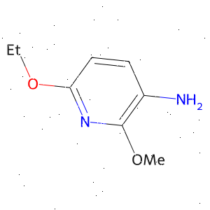 CCOc1ccc(N)c(OC)n1